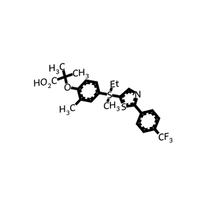 CCS(C)(c1ccc(OC(C)(C)C(=O)O)c(C)c1)c1cnc(-c2ccc(C(F)(F)F)cc2)s1